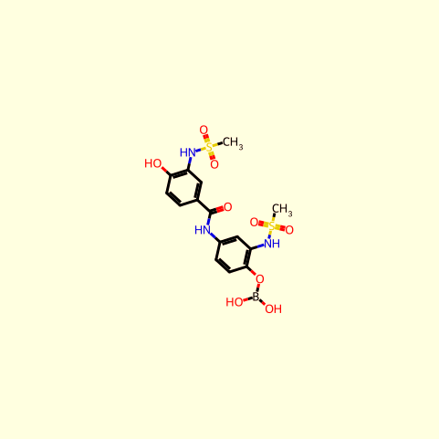 CS(=O)(=O)Nc1cc(C(=O)Nc2ccc(OB(O)O)c(NS(C)(=O)=O)c2)ccc1O